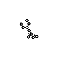 c1ccc(-c2cccc(-c3nc(-c4ccc(-c5ccc(-c6cccc7c6oc6ccccc67)c6c5oc5ccccc56)cc4)nc(-c4cccc(-c5ccccc5)c4)n3)c2)cc1